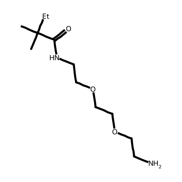 CCC(C)(C)C(=O)NCCOCCOCCN